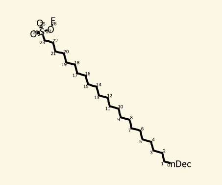 CCCCCCCCCCCCCCCCCCCCCCCCCCCCCCCCCS(=O)(=O)OF